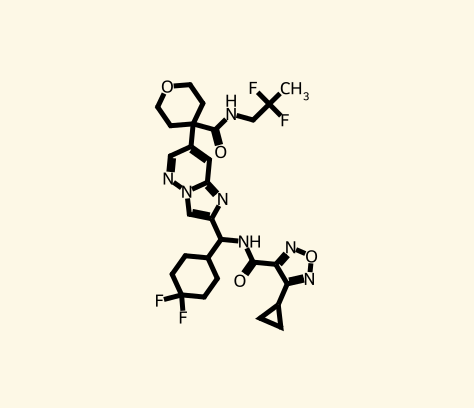 CC(F)(F)CNC(=O)C1(c2cnn3cc(C(NC(=O)c4nonc4C4CC4)C4CCC(F)(F)CC4)nc3c2)CCOCC1